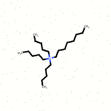 CCCCCCCC[N+](CCCCC)(CCCCC)CCCCC